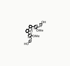 COc1nc(-c2cccc(-c3cccc(-c4cnc(CN5CC(O)C5)c(OC)n4)c3Cl)c2F)cnc1CN1CC(O)C1